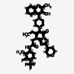 CCc1c(N2CCN(c3c(O)c(C)nc4ccccc34)CC2)c(=O)n2nc(C3=CCOCC3)nc2n1CC(=O)Nc1ccc(C(F)(F)F)c(F)c1C